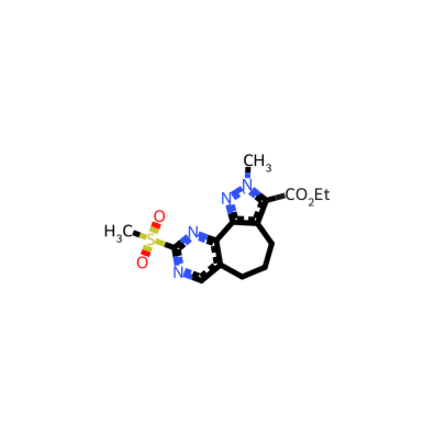 CCOC(=O)c1c2c(nn1C)-c1nc(S(C)(=O)=O)ncc1CCC2